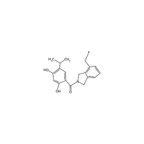 CC(C)c1cc(C(=O)N2Cc3cccc(CF)c3C2)c(O)cc1O